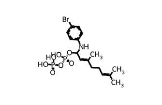 CC(C)=CCC/C(C)=C/C(Nc1ccc(Br)cc1)OP(=O)(O)OP(=O)(O)O